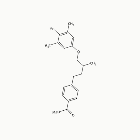 COC(=O)c1ccc(CCC(C)COc2cc(C)c(Br)c(C)c2)cc1